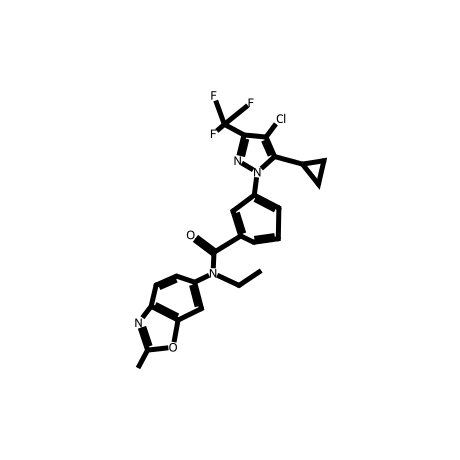 CCN(C(=O)c1cccc(-n2nc(C(F)(F)F)c(Cl)c2C2CC2)c1)c1ccc2nc(C)oc2c1